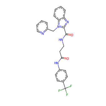 O=C(CCNC(=O)c1nc2ccccc2n1Cc1ccccn1)Nc1ccc(C(F)(F)F)cc1